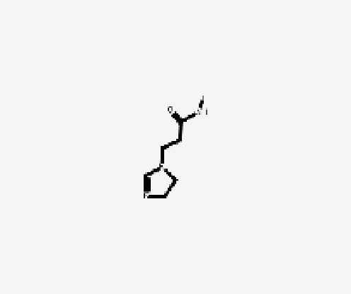 O=C(CCN1C=NCC1)NI